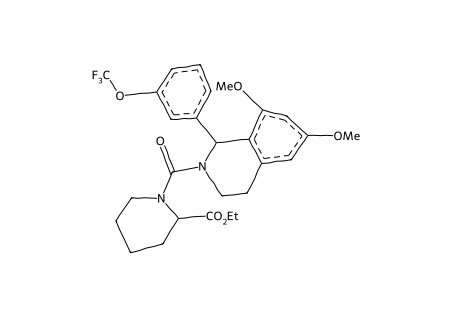 CCOC(=O)C1CCCCN1C(=O)N1CCc2cc(OC)cc(OC)c2C1c1cccc(OC(F)(F)F)c1